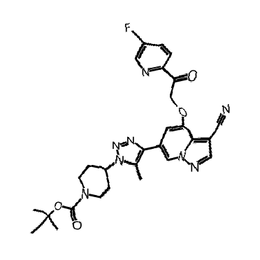 Cc1c(-c2cc(OCC(=O)c3ccc(F)cn3)c3c(C#N)cnn3c2)nnn1C1CCN(C(=O)OC(C)(C)C)CC1